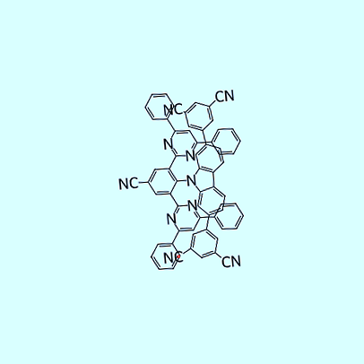 N#Cc1cc(C#N)cc(-c2ccc3c4ccc(-c5cc(C#N)cc(C#N)c5)cc4n(-c4c(-c5nc(-c6ccccc6)cc(-c6ccccc6)n5)cc(C#N)cc4-c4nc(-c5ccccc5)cc(-c5ccccc5)n4)c3c2)c1